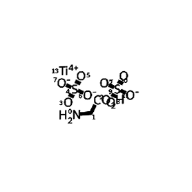 NCC(=O)O.O=S(=O)([O-])[O-].O=S(=O)([O-])[O-].[Ti+4]